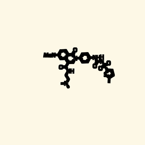 CNc1ccc2c(=O)n(-c3ccc(NC(=O)NS(=O)(=O)c4ccc(C)s4)cc3)cc(C(=O)NCCN(C)C)c2c1